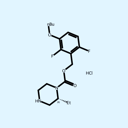 CCCCOc1ccc(F)c(COC(=O)N2CCNC[C@H]2CC)c1F.Cl